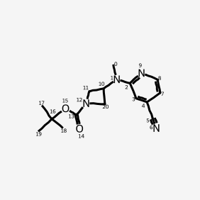 CN(c1cc(C#N)ccn1)C1CN(C(=O)OC(C)(C)C)C1